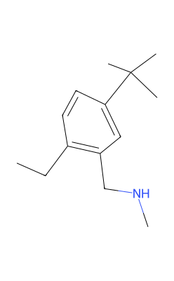 CCc1ccc(C(C)(C)C)cc1CNC